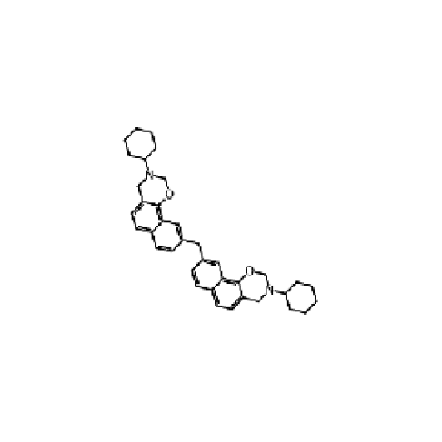 c1cc2ccc3c(c2cc1Cc1ccc2ccc4c(c2c1)OCN(C1CCCCC1)C4)OCN(C1CCCCC1)C3